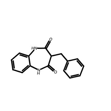 O=C1Nc2ccccc2NC(=O)C1Cc1ccccc1